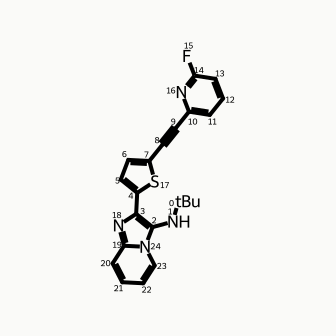 CC(C)(C)Nc1c(-c2ccc(C#Cc3cccc(F)n3)s2)nc2ccccn12